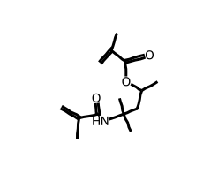 C=C(C)C(=O)NC(C)(C)CC(C)OC(=O)C(=C)C